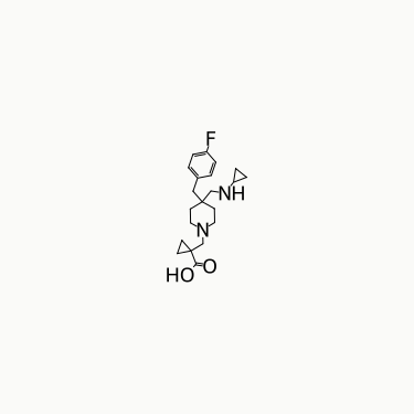 O=C(O)C1(CN2CCC(CNC3CC3)(Cc3ccc(F)cc3)CC2)CC1